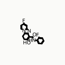 O=C(Nc1ccccc1F)C1=C(O)CCc2c1nc1cc(F)ccn21